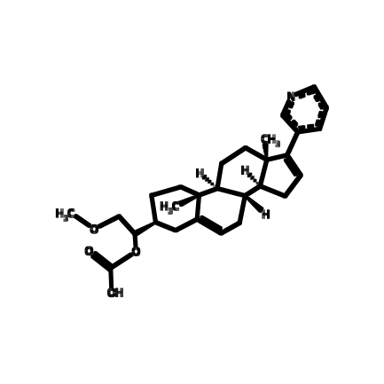 COCC(OC(=O)O)[C@H]1CC[C@@]2(C)C(=CC[C@@H]3[C@@H]2CC[C@]2(C)C(c4cccnc4)=CC[C@@H]32)C1